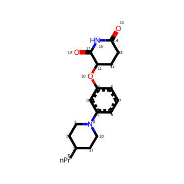 CCCC1CCN(c2cccc(OC3CCC(=O)NC3=O)c2)CC1